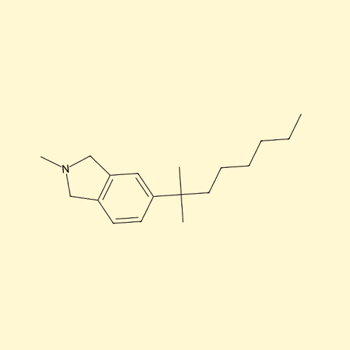 CCCCCCC(C)(C)c1ccc2c(c1)CN(C)C2